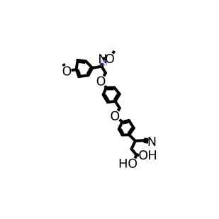 CO/N=C(\COc1ccc(COc2ccc(C(C#N)CC(O)O)cc2)cc1)c1ccc(OC)cc1